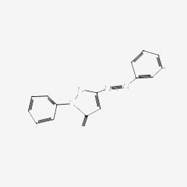 O=c1cc(/N=N/c2ccccc2)[nH]n1-c1ccccc1